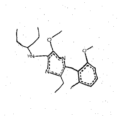 CCc1nc(NC(CC)CC)c(OC)nc1-c1c(C)cccc1OC